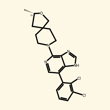 C[C@H]1CC2(CCN(c3ncc(-c4cccc(Cl)c4Cl)c4[nH]cnc34)CC2)CO1